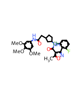 COc1cc(NC(=O)CC2CCC(NC(=O)c3c(-c4c(F)cccc4Cl)noc3C)C2)cc(OC)c1OC